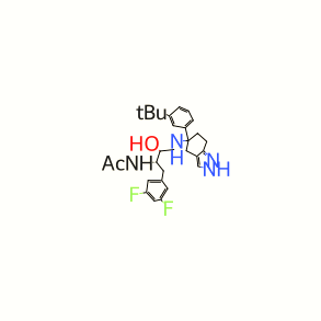 CC(=O)N[C@@H](Cc1cc(F)cc(F)c1)[C@H](O)CNC1(c2cccc(C(C)(C)C)c2)CCc2n[nH]cc2C1